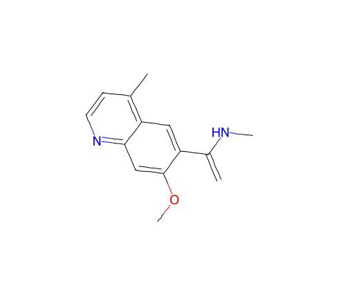 C=C(NC)c1cc2c(C)ccnc2cc1OC